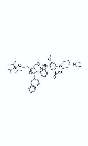 COCn1c(CCO[Si](C(C)C)(C(C)C)C(C)C)nc(-c2ccc3ccoc3c2)c1-c1ccnc(Nc2cc([N+](=O)[O-])c(N3CCC(N4CCCC4)CC3)cc2OC)n1